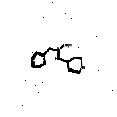 O=C(O)[C@H](Cc1ccccc1)NC1C=CNCC1